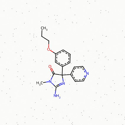 CCCOc1cccc(C2(c3ccncc3)N=C(N)N(C)C2=O)c1